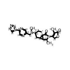 CC1=C(N2C(=O)[C@]34CC[C@H](N(C)Cc5cnc(-n6cnnn6)cn5)CC3C4[C@@H]2C)COC1=O